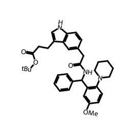 COc1ccc(N2CCCCC2)c(C(NC(=O)Cc2ccc3[nH]cc(CCC(=O)OC(C)(C)C)c3c2)c2ccccc2)c1